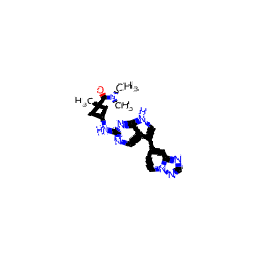 CN(C)C(=O)C1(C)CC(Nc2ncc3c(-c4ccn5ncnc5c4)c[nH]c3n2)C1